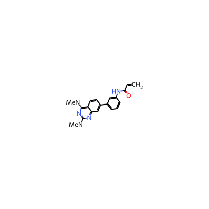 C=CC(=O)Nc1cccc(-c2ccc3c(NC)nc(NC)nc3c2)c1